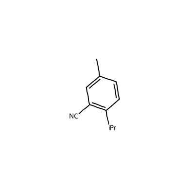 Cc1ccc(C(C)C)c(C#N)c1